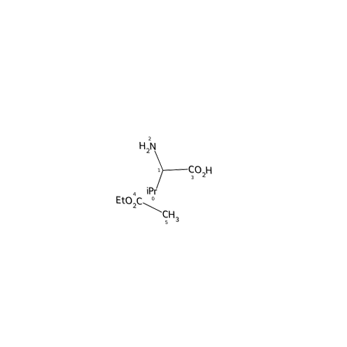 CC(C)C(N)C(=O)O.CCOC(C)=O